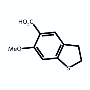 COc1cc2c(cc1C(=O)O)CCS2